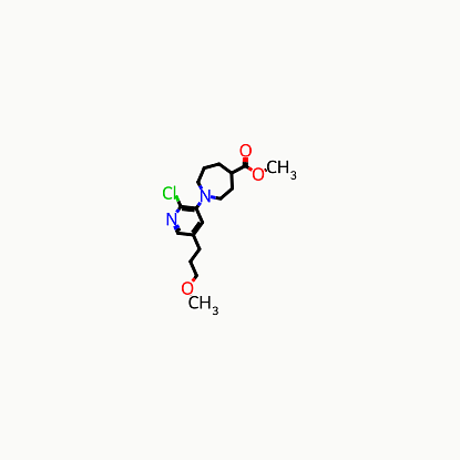 COCCCc1cnc(Cl)c(N2CCCC(C(=O)OC)CC2)c1